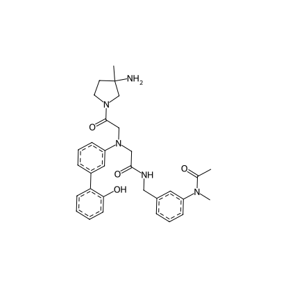 CC(=O)N(C)c1cccc(CNC(=O)CN(CC(=O)N2CCC(C)(N)C2)c2cccc(-c3ccccc3O)c2)c1